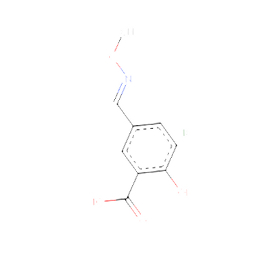 CON=Cc1ccc(O)c(C(=O)O)c1.Cl